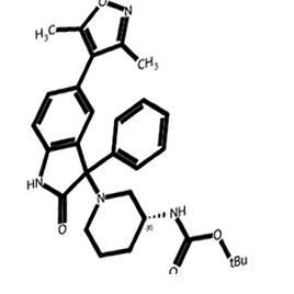 Cc1noc(C)c1-c1ccc2c(c1)C(c1ccccc1)(N1CCC[C@@H](NC(=O)OC(C)(C)C)C1)C(=O)N2